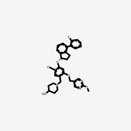 COc1ncc(COc2cc(O[C@H]3CCc4c(-c5ccccc5F)cccc43)c(Cl)cc2CN2CCC(O)CC2)cn1